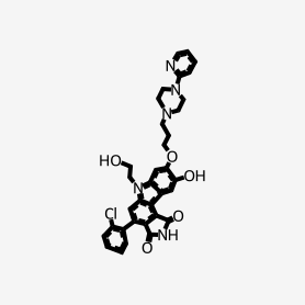 O=C1NC(=O)c2c1c(-c1ccccc1Cl)cc1c2c2cc(O)c(OCCCN3CCN(c4ccccn4)CC3)cc2n1CCO